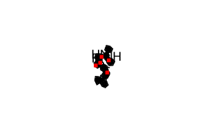 C1=Cc2c(n(-c3ccc4sc5ccc(-c6cccc7c6sc6c(C8NC(c9ccccc9)NC(c9ccccc9)N8)cccc67)cc5c4c3)c3ccccc23)CC1